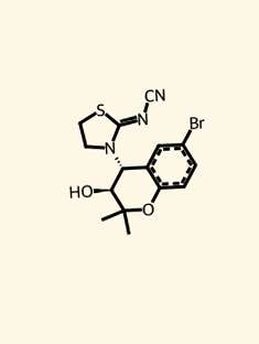 CC1(C)Oc2ccc(Br)cc2[C@@H](N2CCSC2=NC#N)[C@@H]1O